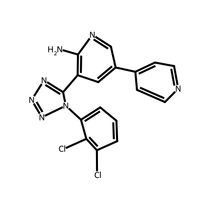 Nc1ncc(-c2ccncc2)cc1-c1nnnn1-c1cccc(Cl)c1Cl